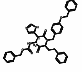 NC(=O)C(CCc1ccccc1)N(Cc1ccc(OCc2ccccc2)cc1)C(=O)[C@@H](CNC(=O)OCc1ccccc1)c1cnc[nH]1